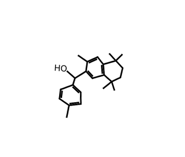 Cc1ccc(C(O)c2cc3c(cc2C)C(C)(C)CCC3(C)C)cc1